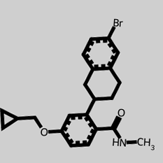 CNC(=O)c1ccc(OCC2CC2)cc1C1CCc2cc(Br)ccc2C1